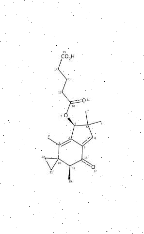 CC1=C2C(=CC(C)(C)[C@@H]2OC(=O)CCCC(=O)O)C(=O)[C@@H](C)C12CC2